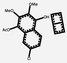 COc1c(OC)c(OC(C)=O)c2cc(Cl)ccc2c1O.c1cc2ccc1-2